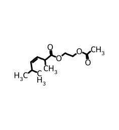 CC(=O)OCCOC(=O)C(C)/C=C\C(C)C